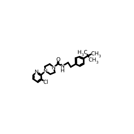 CC(C)(C)c1ccc(CCNC(=O)N2CCN(c3ncccc3Cl)CC2)cc1